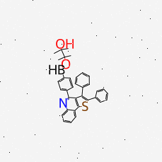 CC(C)(O)C(C)(C)OBc1ccc(-c2nc3ccccc3c3sc(-c4ccccc4)c(-c4ccccc4)c23)cc1